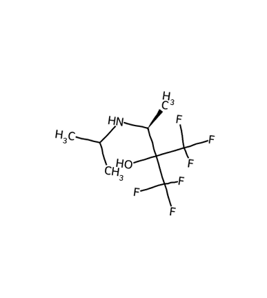 CC(C)N[C@@H](C)C(O)(C(F)(F)F)C(F)(F)F